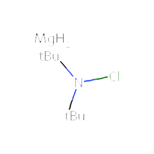 CC(C)(C)N(Cl)C(C)(C)C.[MgH2]